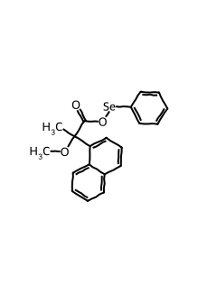 COC(C)(C(=O)O[Se]c1ccccc1)c1cccc2ccccc12